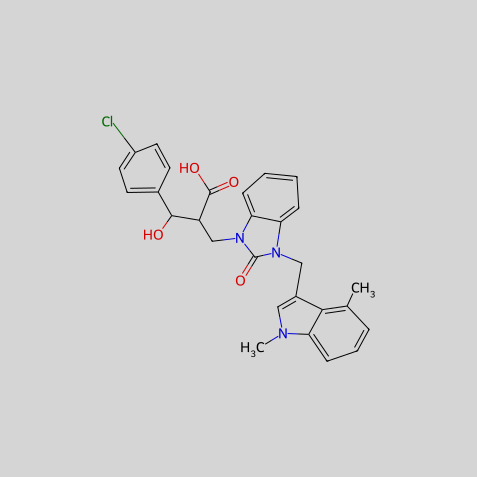 Cc1cccc2c1c(Cn1c(=O)n(CC(C(=O)O)C(O)c3ccc(Cl)cc3)c3ccccc31)cn2C